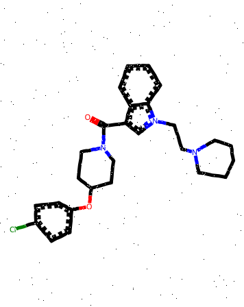 O=C(c1cn(CCN2CCCCC2)c2ccccc12)N1CCC(Oc2ccc(Cl)cc2)CC1